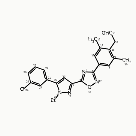 CCn1nc(-c2nc(-c3cc(C)c(CC=O)c(C)c3)no2)cc1-c1cccc(Cl)c1